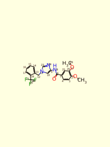 COc1ccc(C(=O)Nc2cn(Cc3ccccc3C(F)(F)F)cn2)cc1OC